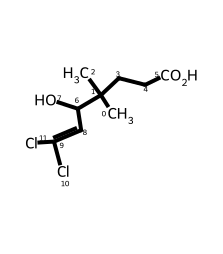 CC(C)(CCC(=O)O)C(O)C=C(Cl)Cl